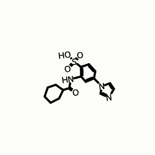 O=C(Nc1cc(-n2ccnc2)ccc1S(=O)(=O)O)C1CCCCC1